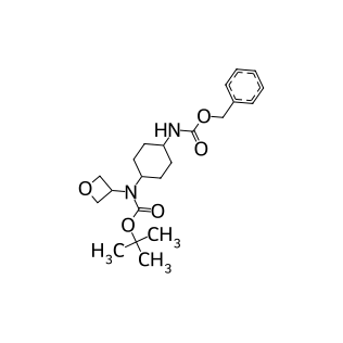 CC(C)(C)OC(=O)N(C1CCC(NC(=O)OCc2ccccc2)CC1)C1COC1